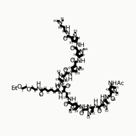 CCOCCOCCNC(=O)CCCCC(=O)N[C@H](CCNC(=O)c1cc(NC(=O)c2nc(NC(=O)c3nc(NC(=O)c4cc(NC(C)=O)cn4C)cn3C)cn2C)cn1C)C(=O)Nc1cn(C)c(C(=O)Nc2cc(C(=O)Nc3cc(C(=O)Nc4cc(C(=O)NCCCN(C)C)n(C)c4)n(C)c3)n(C)c2)n1